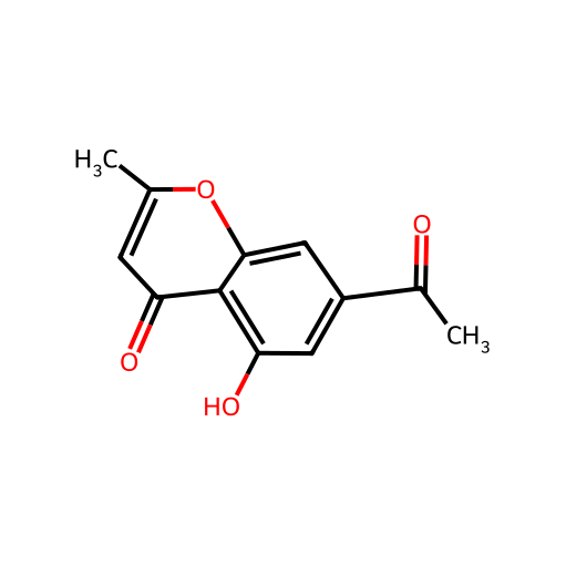 CC(=O)c1cc(O)c2c(=O)cc(C)oc2c1